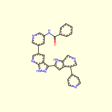 O=C(Nc1cncc(-c2cnc3[nH]nc(-c4cc5c(-c6ccncc6)cncc5[nH]4)c3c2)c1)c1ccccc1